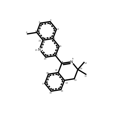 Cc1cccc2cc(C3=NC(C)(C)Cc4ccccc43)cnc12